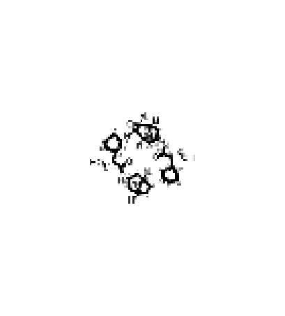 CN1[C@@H]2CC[C@H]1C[C@@H](OC(=O)[C@H](CO)c1ccccc1)C2.CN1[C@@H]2C[C@@H](OC(=O)[C@H](CO)c3ccccc3)C[C@H]1[C@@H]1O[C@@H]12